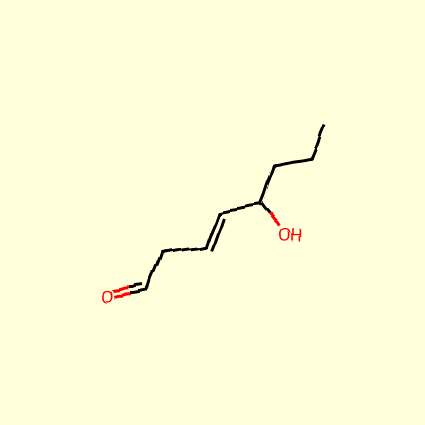 CCCC(O)C=CCC=O